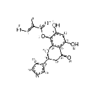 CCC=C(C)C(=O)Oc1c(O)cc(O)c2c1OC(c1cccs1)CC2=O